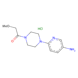 COCC(=O)N1CCN(c2ccc(N)cn2)CC1.Cl